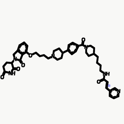 O=C(/C=C/c1cccnc1)NCCCCC1CCN(C(=O)c2ccc(C3CCN(CCCCOc4cccc5c4C(=O)N(C4CCC(=O)NC4=O)C5)CC3)cc2)CC1